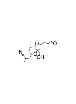 CC(C#N)CC1CCC2OC(CCC=O)CC2(CO)O1